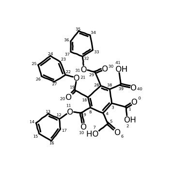 O=C(O)c1c(C(=O)O)c(C(=O)Oc2ccccc2)c(C(=O)Oc2ccccc2)c(C(=O)Oc2ccccc2)c1C(=O)O